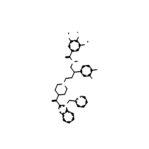 COc1cc(C(=O)N(C)CC(CCN2CCC(C(=O)c3nc4ccccc4n3Cc3ccccn3)CC2)c2ccc(Cl)c(Cl)c2)cc(OC)c1OC